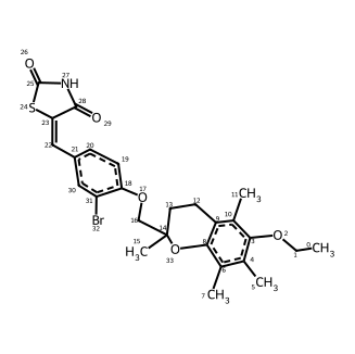 CCOc1c(C)c(C)c2c(c1C)CCC(C)(COc1ccc(/C=C3/SC(=O)NC3=O)cc1Br)O2